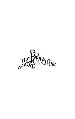 COC(=O)C(C)NC(=O)C(Cc1ccc(OC(C)(C)C)cc1)NC(=O)OCc1ccccc1